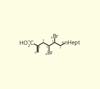 C=C(CC(Br)C(Br)CCCCCCCC)C(=O)O